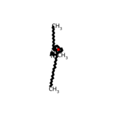 CCCCCCCCCCCCCCCCCCCC(c1nccn1CCCCCCCCCCCCCCC)C(C)(Cc1ccccc1)c1ccccc1